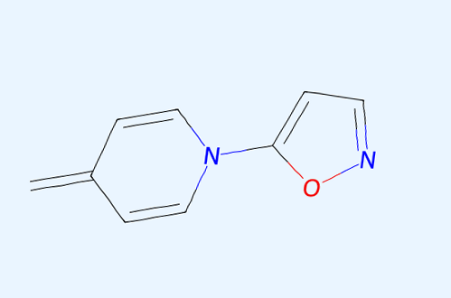 C=C1C=CN(c2ccno2)C=C1